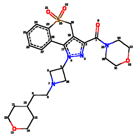 O=C(c1nn(C2CN(CCC3CCOCC3)C2)c2c1CS(=O)(=O)c1ccccc1-2)N1CCOCC1